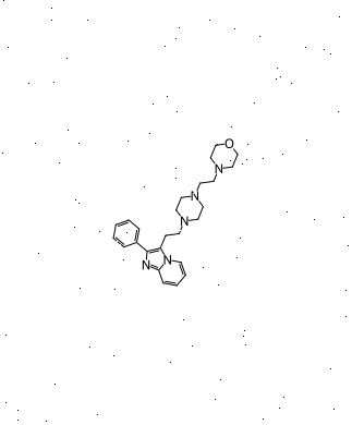 c1ccc(-c2nc3ccccn3c2CCN2CCN(CCN3CCOCC3)CC2)cc1